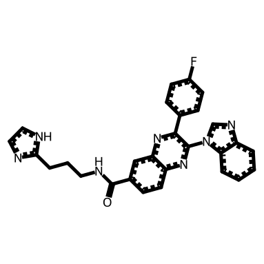 O=C(NCCCc1ncc[nH]1)c1ccc2nc(-n3cnc4ccccc43)c(-c3ccc(F)cc3)nc2c1